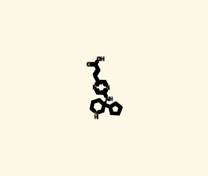 O=C(O)/C=C/c1cnc(N[C@@]2(C3CCCC3)CCCNC2)cn1